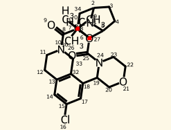 CN1C2CCC1CN(C(=O)N1CCc3cc(Cl)cc(C4COCCN4C(=O)OC(C)(C)C)c3C1)C2